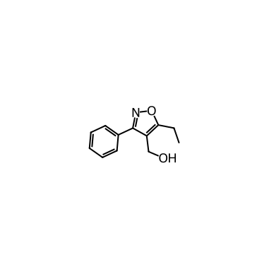 CCc1onc(-c2ccccc2)c1CO